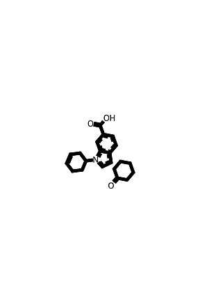 O=C(O)c1ccc2ccn(C3CC=CCC3)c2c1.O=C1CCCCC1